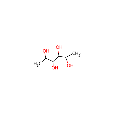 [CH2]C(O)C(O)C(O)C(C)O